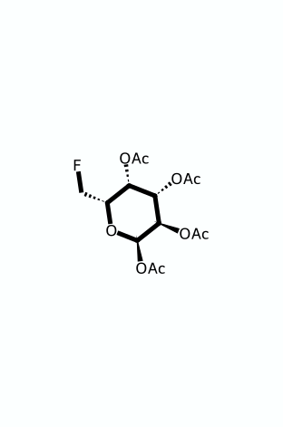 CC(=O)O[C@H]1O[C@H](CF)[C@H](OC(C)=O)[C@H](OC(C)=O)[C@H]1OC(C)=O